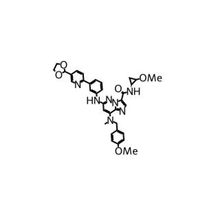 COc1ccc(CN(C)c2cc(Nc3cccc(-c4ccc(C5OCCO5)cn4)c3)nn3c(C(=O)N[C@@H]4CC4OC)cnc23)cc1